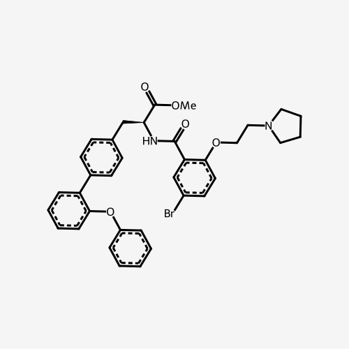 COC(=O)[C@H](Cc1ccc(-c2ccccc2Oc2ccccc2)cc1)NC(=O)c1cc(Br)ccc1OCCN1CCCC1